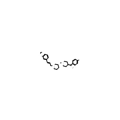 O=C(/C=C/c1ccc2c(c1)OCO2)N1CCC[C@@H](CN2CCC(c3noc4cc(F)ccc34)CC2)C1